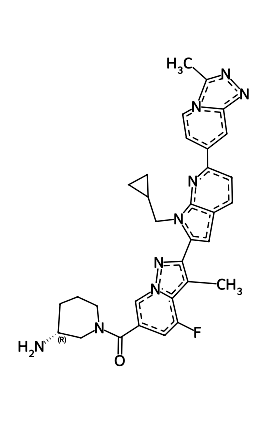 Cc1c(-c2cc3ccc(-c4ccn5c(C)nnc5c4)nc3n2CC2CC2)nn2cc(C(=O)N3CCC[C@@H](N)C3)cc(F)c12